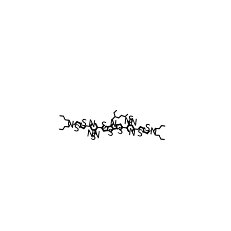 CCCCC(CC)Cn1c2cc(-c3cnc(-c4cc5sc(N(CCCC)CCCC)cc5s4)c4nsnc34)sc2c2sc3cc(-c4cnc(-c5cc6sc(N(CCCC)CCCC)cc6s5)c5nsnc45)sc3c21